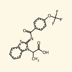 CC(C(=O)O)n1/c(=N/C(=O)c2ccc(OC(F)(F)F)cc2)sc2ccccc21